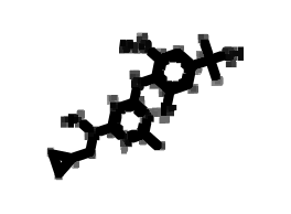 CCCN(CC1CC1)c1nc(C)nc(Oc2c(Br)cc(C(C)(C)O)cc2OC)n1